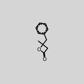 CC1(Cc2ccccc2)CC(=O)O1